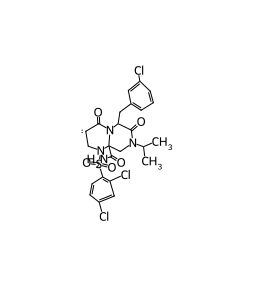 CC(C)N1CC2(C(N)=O)N(C(=O)[C]CN2S(=O)(=O)c2ccc(Cl)cc2Cl)C(Cc2cccc(Cl)c2)C1=O